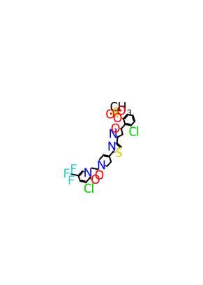 CS(=O)(=O)Oc1cccc(Cl)c1C1CC(c2csc(C3=CCN(C(=O)Cn4cc(C(F)(F)F)cc(Cl)c4=O)CC3)n2)=NO1